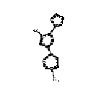 Cn1cc(-c2ccc(N)cc2)cc1-c1ncco1